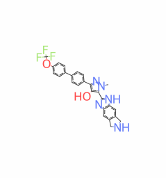 Cn1nc(-c2ccc(-c3ccc(OC(F)(F)F)cc3)cc2)c(O)c1-c1nc2cc3c(cc2[nH]1)CNC3